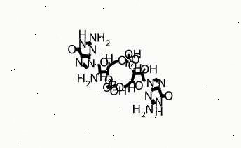 Nc1nc2c(ncn2[C@@H]2O[C@@H]3COP(=O)(O)O[C@@H]4[C@@H](O)[C@H](n5cnc6c(=O)[nH]c(N)nc65)O[C@@H]4COP(=O)(O)O[C@H]3[C@H]2N)c(=O)[nH]1